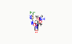 CC(C)C(=O)N1C2COCC1CN(c1cc(S(=O)(=O)NC3(C#N)CC3)cc3c(-c4nnc(C(F)F)s4)nn(C)c13)C2